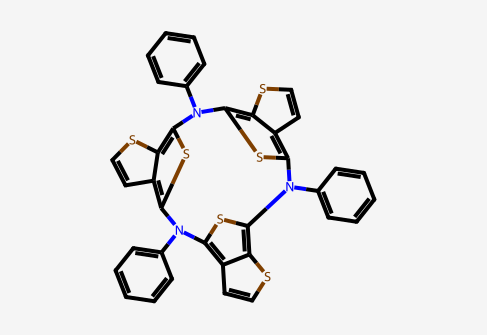 c1ccc(-n2c3sc(c4sccc43)n(-c3ccccc3)c3sc(c4sccc43)n(-c3ccccc3)c3sc2c2ccsc23)cc1